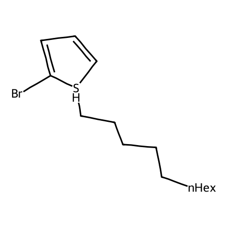 CCCCCCCCCCC[SH]1C=CC=C1Br